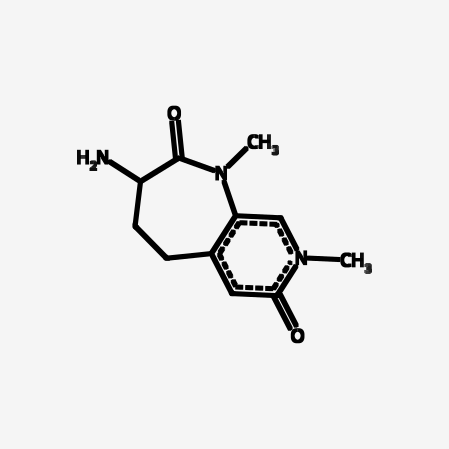 CN1C(=O)C(N)CCc2cc(=O)n(C)cc21